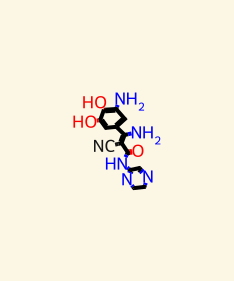 N#C/C(C(=O)NC1=NCCN=C1)=C(/N)c1cc(N)c(O)c(O)c1